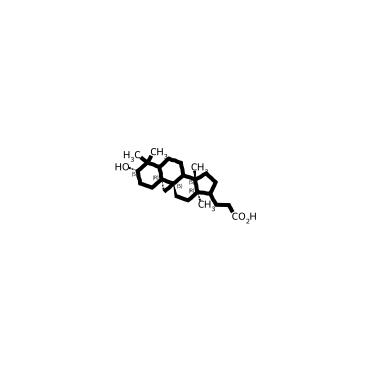 CC1(C)C2CCC3[C@]4(CC[C@]5(C)C(CCC(=O)O)CC[C@@]35C)C[C@]24CC[C@@H]1O